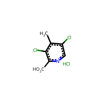 Cc1c(Cl)cnc(C(=O)O)c1Cl.Cl